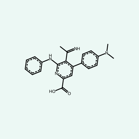 CC(=N)c1c(-c2ccc(N(C)C)cc2)cc(C(=O)O)nc1Nc1ccccc1